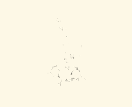 CC(=O)CNCCCC1CCCN(CC(=O)N2c3ccccc3C(=O)Nc3cccnc32)C1